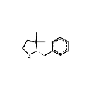 FC1(F)CCN[C@H]1Cc1ccccc1